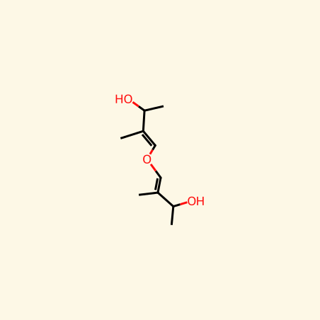 C/C(=C\O/C=C(\C)C(C)O)C(C)O